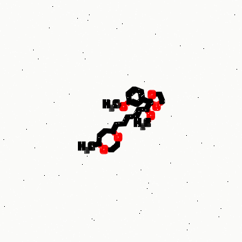 COc1cccc(C2(C(/C=C/CCCC3CCC(C)OCCO3)OC)OCCO2)c1